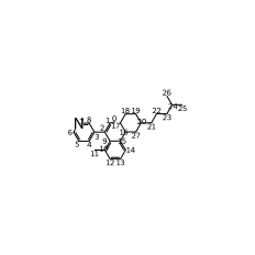 C/C=C(/c1cccnc1)c1c(C)cccc1C1CCCC(CCCC(C)C)C1